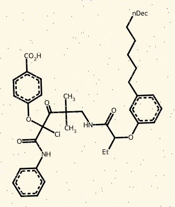 CCCCCCCCCCCCCCCc1cccc(OC(CC)C(=O)NCC(C)(C)C(=O)C(Cl)(Oc2ccc(C(=O)O)cc2)C(=O)Nc2ccccc2)c1